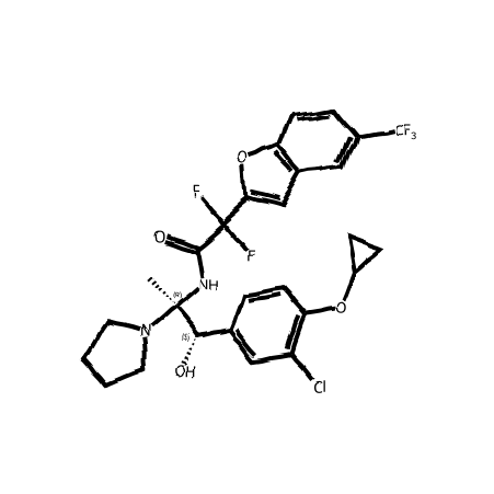 C[C@](NC(=O)C(F)(F)c1cc2cc(C(F)(F)F)ccc2o1)([C@@H](O)c1ccc(OC2CC2)c(Cl)c1)N1CCCC1